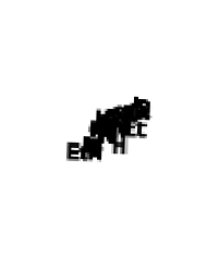 CCC(Nc1ncnc2c1nc(-c1cnn(CC)c1C)n2C)C(=O)N1CC(C)OC(C)C1